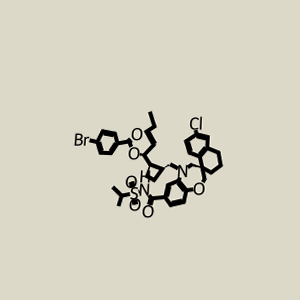 CC/C=C/[C@H](OC(=O)c1ccc(Br)cc1)[C@@H]1CC[C@H]1CN1C[C@@]2(CCCc3cc(Cl)ccc32)COc2ccc(C(=O)NS(=O)(=O)C(C)C)cc21